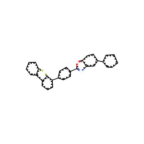 c1ccc(-c2ccc3oc(-c4ccc(-c5cccc6c5sc5ccccc56)cc4)nc3c2)cc1